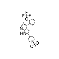 CS(=O)(=O)N1CC=C(c2cc3c(-c4ccccc4OC(F)(F)F)ncnc3[nH]2)CC1